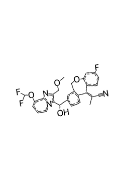 COCc1nc2c(OC(F)F)cccn2c1C(O)c1ccc2c(c1)COc1cc(F)ccc1C2=C(C)C#N